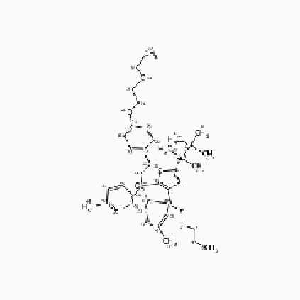 CCCCCCc1cc([Si](C)(C)C(C)(C)C)s[c]1[Ge]([CH2]Cc1ccc(OCCOCC)cc1)([c]1ccc(C)cc1)[c]1ccc(C)cc1